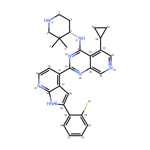 CC1(C)CNCC[C@@H]1Nc1nc(-c2ccnc3[nH]c(-c4ccccc4F)cc23)nc2cncc(C3CC3)c12